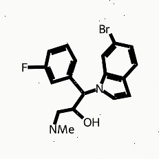 CNCC(O)C(c1cccc(F)c1)n1ccc2ccc(Br)cc21